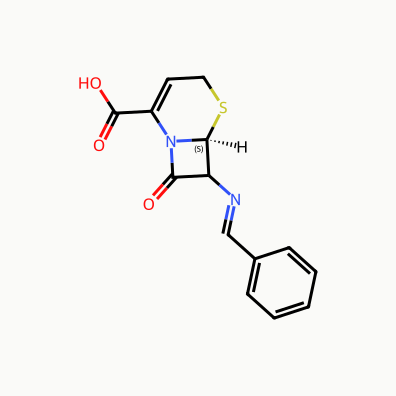 O=C(O)C1=CCS[C@H]2C(N=Cc3ccccc3)C(=O)N12